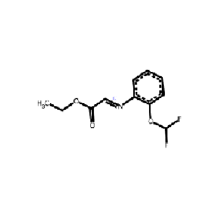 CCOC(=O)/C=N/c1ccccc1OC(F)F